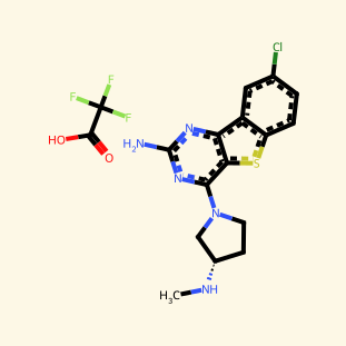 CN[C@H]1CCN(c2nc(N)nc3c2sc2ccc(Cl)cc23)C1.O=C(O)C(F)(F)F